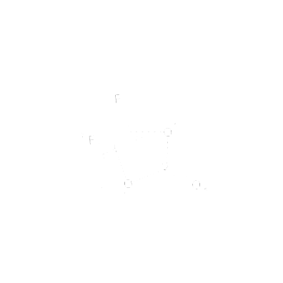 C[C@@]1(F)OC(=O)O[C@H]1F